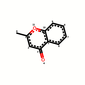 Cc1cc(=O)c2ccccc2o1